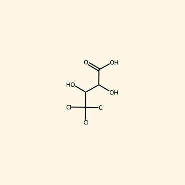 O=C(O)C(O)C(O)C(Cl)(Cl)Cl